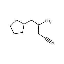 CC(CC#N)CC1CCCC1